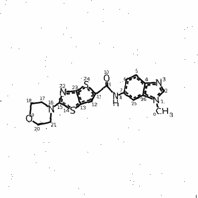 Cn1cnc2ccc(NC(=O)c3cc4sc(N5CCOCC5)nc4s3)cc21